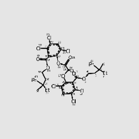 CCC(C)(CCOC(=O)c1c(Cl)c(Cl)cc(Cl)c1OC(=O)C(=O)Oc1c(Cl)cc(Cl)c(Cl)c1C(=O)OCCC(C)(CC)C(C)C)C(C)C